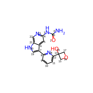 NC(=O)Nc1cc2c(-c3cccc(C4(O)COC4)n3)c[nH]c2cn1